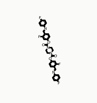 O=C(Oc1ccc(C=Nc2ccc(F)cc2)c(F)c1)N1CCN(C(=O)Oc2ccc(C=Nc3ccc(F)cc3)c(F)c2)CC1